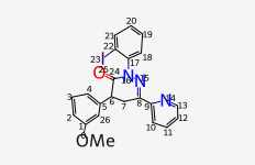 COc1cccc(C2CC(c3ccccn3)=NN(c3ccccc3I)C2=O)c1